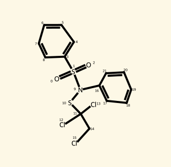 O=S(=O)(c1ccccc1)N(SC(Cl)(Cl)CCl)c1ccccc1